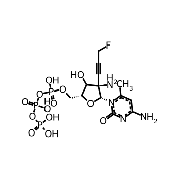 Cc1cc(N)nc(=O)n1[C@@H]1O[C@H](COP(=O)(O)OP(=O)(O)OP(=O)(O)O)C(O)[C@]1(N)C#CCF